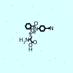 N#Cc1ccc(NC(=O)c2ccccc2[Se]SC[C@H](N)C(=O)O)cc1